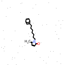 C=C1C=CC(=O)N1CCCCCCCC1CC2C=CC1C2